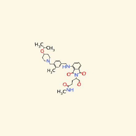 CNC(=O)CCC(C=O)N1C(=O)c2cccc(NCc3ccc(CN4CCC(OC(C)C)CC4)c(C)c3)c2C1=O